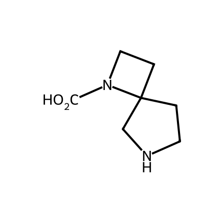 O=C(O)N1CCC12CCNC2